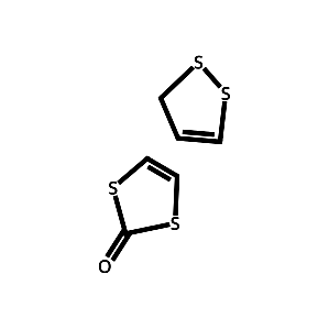 C1=CSSC1.O=c1sccs1